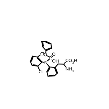 N[C@@H](Cc1ccccc1N(c1c(Cl)cccc1Cl)P(=O)(O)Oc1ccccc1)C(=O)O